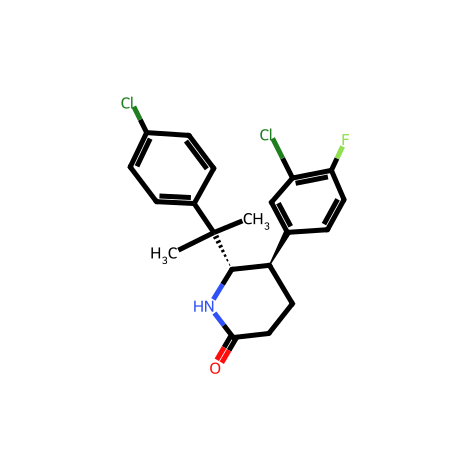 CC(C)(c1ccc(Cl)cc1)[C@H]1NC(=O)CC[C@@H]1c1ccc(F)c(Cl)c1